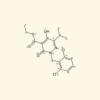 CCOC(=O)c1c(O)c(C(C)C)nn(Cc2c(Cl)cccc2Cl)c1=O